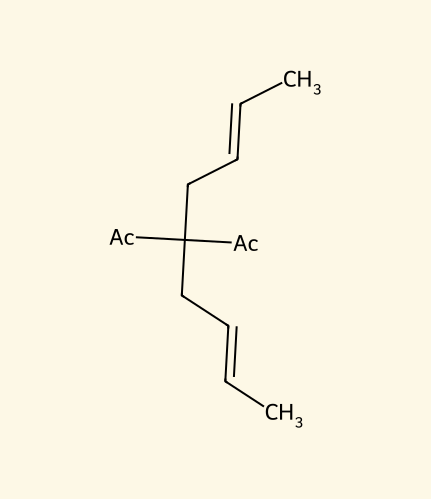 CC=CCC(CC=CC)(C(C)=O)C(C)=O